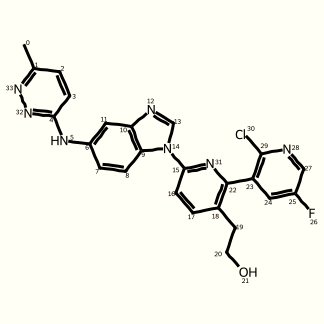 Cc1ccc(Nc2ccc3c(c2)ncn3-c2ccc(CCO)c(-c3cc(F)cnc3Cl)n2)nn1